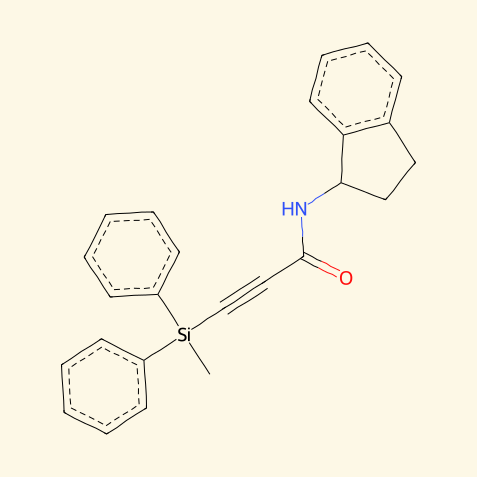 C[Si](C#CC(=O)NC1CCc2ccccc21)(c1ccccc1)c1ccccc1